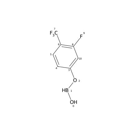 OBOc1ccc(C(F)(F)F)c(F)c1